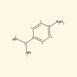 CCCC(CCC)c1ccc([AsH2])cc1